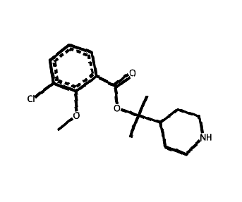 COc1c(Cl)cccc1C(=O)OC(C)(C)C1CCNCC1